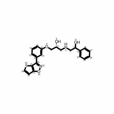 OC(CNC[C@@H](O)COc1cccc(-c2noc3ccsc23)c1)c1ccccc1